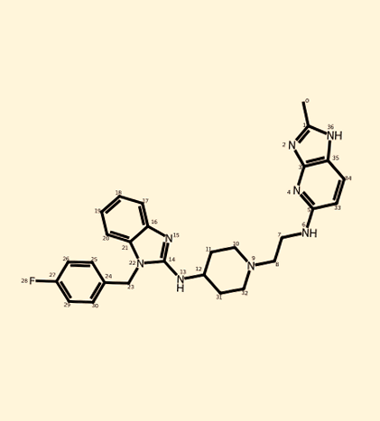 Cc1nc2nc(NCCN3CCC(Nc4nc5ccccc5n4Cc4ccc(F)cc4)CC3)ccc2[nH]1